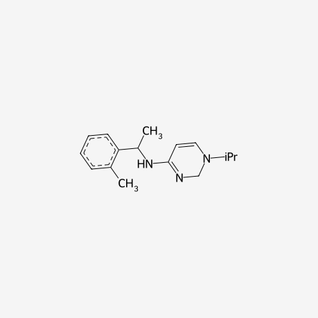 Cc1ccccc1C(C)NC1=NCN(C(C)C)C=C1